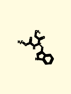 CCC(=O)[C@H](Cc1c[nH]c2ccccc12)NC(=O)OC